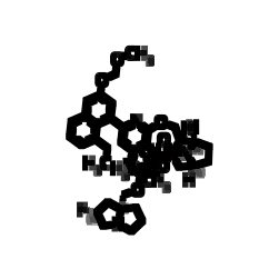 CCc1cccc2cc(OCOC)cc(-c3cc4nc(OC[C@]56CCCN5C[C@H](F)C6)nc5c4c(n3)OC[C@@H]3[C@H]4CC[C@@H](CN53)N4C(=O)OC(C)(C)C)c12